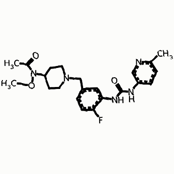 CON(C(C)=O)C1CCN(Cc2ccc(F)c(NC(=O)Nc3ccc(C)nc3)c2)CC1